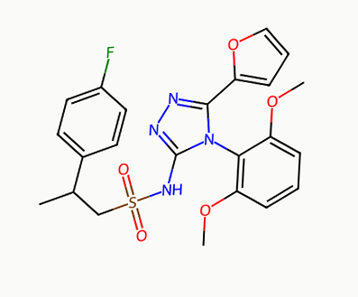 COc1cccc(OC)c1-n1c(NS(=O)(=O)CC(C)c2ccc(F)cc2)nnc1-c1ccco1